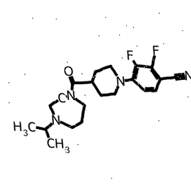 CC(C)N1CCCN(C(=O)C2CCN(c3ccc(C#N)c(F)c3F)CC2)CC1